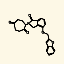 O=C1CCC(=O)C(N2Cc3c(OCc4cc5ccccc5o4)cccc3C2=O)CC1